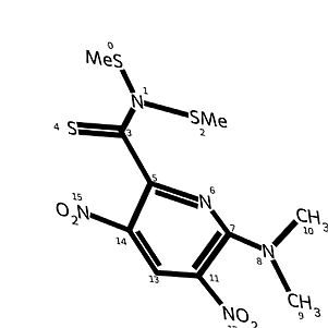 CSN(SC)C(=S)c1nc(N(C)C)c([N+](=O)[O-])cc1[N+](=O)[O-]